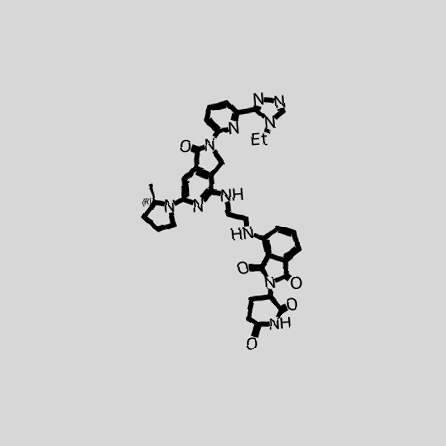 CCn1cnnc1-c1cccc(N2Cc3c(cc(N4CCC[C@H]4C)nc3NCCNc3cccc4c3C(=O)N(C3CCC(=O)NC3=O)C4=O)C2=O)n1